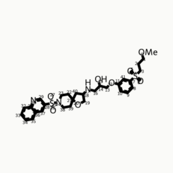 COCCCS(=O)(=O)c1cccc(OCC(O)CNC2COC3(CCN(S(=O)(=O)c4cnc5ccccc5c4)CC3)C2)c1